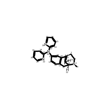 CN1CC[C@]23CCCC[C@H]2[C@H]1Cc1ccc(N(c2ccccn2)c2ccccn2)cc13